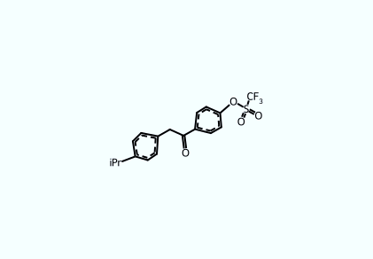 CC(C)c1ccc(CC(=O)c2ccc(OS(=O)(=O)C(F)(F)F)cc2)cc1